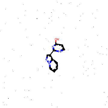 Oc1ccnc(-c2cnn3ccccc23)n1